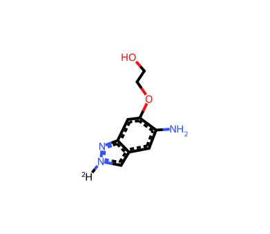 [2H]n1cc2cc(N)c(OCCO)cc2n1